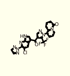 O=C(c1cnn(-c2cccn3c(=O)cccc23)c1C(F)(F)F)c1c[nH]c2nc(-n3nccn3)c(Cl)cc12